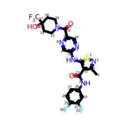 Cc1nsc(Nc2cnc(C(=O)N3CCC(O)(C(F)(F)F)CC3)cn2)c1C(=O)Nc1ccc(F)c(F)c1